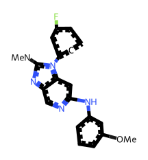 CNc1nc2cnc(Nc3cccc(OC)c3)cc2n1-c1cccc(F)c1